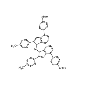 CCCCCCc1ccc(-c2cccc3c2C=C(c2ccc(C)cn2)[CH]3[Zr][CH]2C(c3ccc(C)cn3)=Cc3c(-c4ccc(CCCCCC)cc4)cccc32)cc1